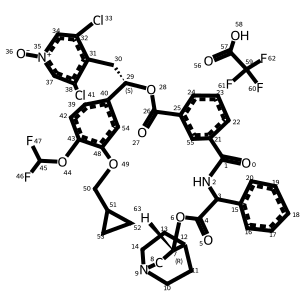 O=C(NC(C(=O)O[C@H]1CN2CCC1CC2)c1ccccc1)c1cccc(C(=O)O[C@@H](Cc2c(Cl)c[n+]([O-])cc2Cl)c2ccc(OC(F)F)c(OCC3CC3)c2)c1.O=C(O)C(F)(F)F